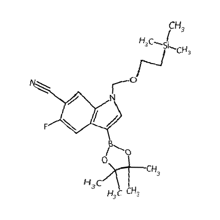 CC1(C)OB(c2cn(COCC[Si](C)(C)C)c3cc(C#N)c(F)cc23)OC1(C)C